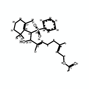 CC(=O)OCC=C(C)CCC=C(C)C(O)C(C1=C(C)CCCC1(C)C)S(=O)(=O)c1ccccc1